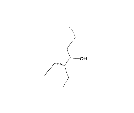 [CH2]CCC(O)C(CC)CC